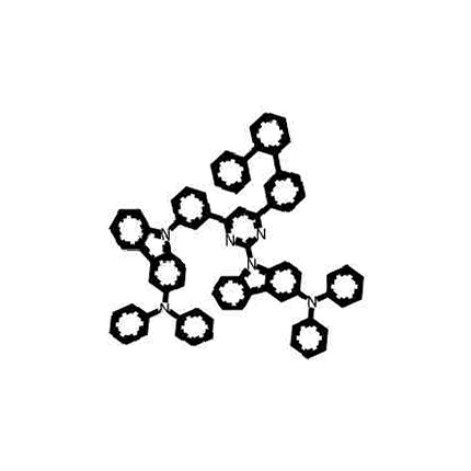 c1ccc(-c2ccccc2-c2cccc(-c3cc(-c4cccc(-n5c6ccccc6c6cc(N(c7ccccc7)c7ccccc7)ccc65)c4)nc(-n4c5ccccc5c5cc(N(c6ccccc6)c6ccccc6)ccc54)n3)c2)cc1